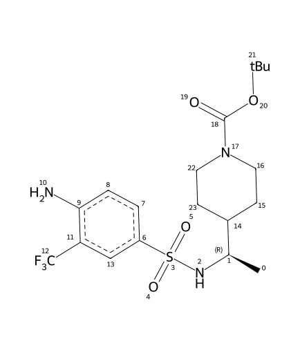 C[C@@H](NS(=O)(=O)c1ccc(N)c(C(F)(F)F)c1)C1CCN(C(=O)OC(C)(C)C)CC1